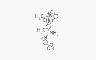 Cc1cc(OCc2c(C(C)C)cnn2-c2c(Cl)cccc2Cl)ccc1C(N)CCn1ccc2ccc(C(=O)O)cc21